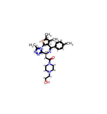 Cc1ccc(C2=N[C@@H](CC(=O)N3CCN(CCO)CC3)c3nnc(C)n3-c3sc(C)c(C)c32)cc1